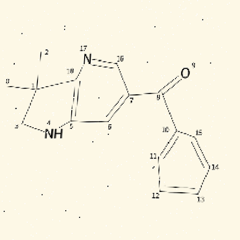 CC1(C)CNc2cc(C(=O)c3ccccc3)cnc21